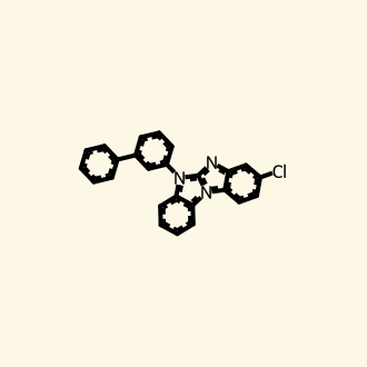 Clc1ccc2c(c1)nc1n(-c3cccc(-c4ccccc4)c3)c3ccccc3n21